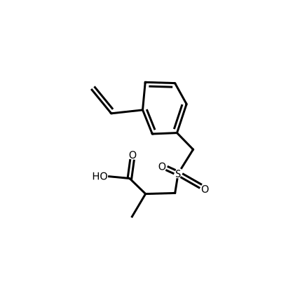 C=Cc1cccc(CS(=O)(=O)CC(C)C(=O)O)c1